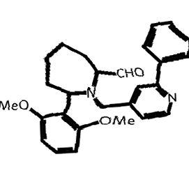 COc1cccc(OC)c1C1CCCCC(C=O)N1Cc1ccnc(-c2ccccc2)c1